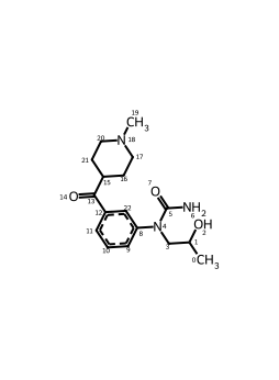 CC(O)CN(C(N)=O)c1cccc(C(=O)C2CCN(C)CC2)c1